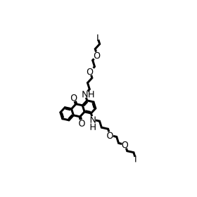 O=C1c2ccccc2C(=O)c2c(NCCCOCCOCCI)ccc(NCCCOCCOCCI)c21